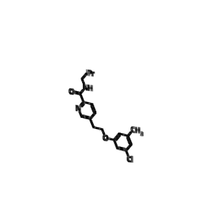 Cc1cc(Cl)cc(OCCc2ccc(C(=O)NCC(C)C)nc2)c1